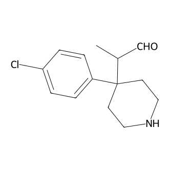 CC(C=O)C1(c2ccc(Cl)cc2)CCNCC1